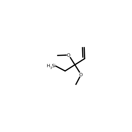 C=CC(C[SiH3])(OC)OC